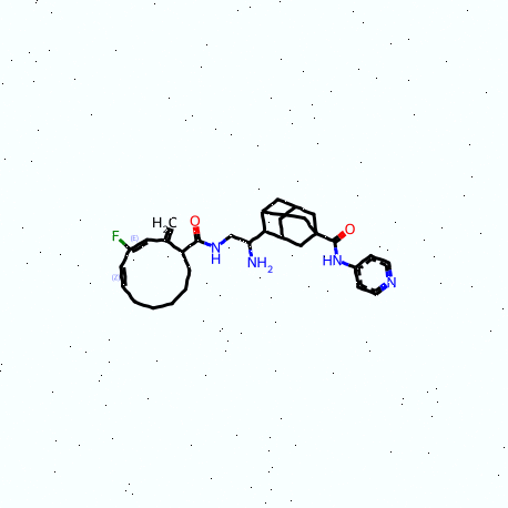 C=C1/C=C(F)\C=C/CCCCCC1C(=O)NCC(N)C1C2CC3CC1CC(C(=O)Nc1ccncc1)(C3)C2